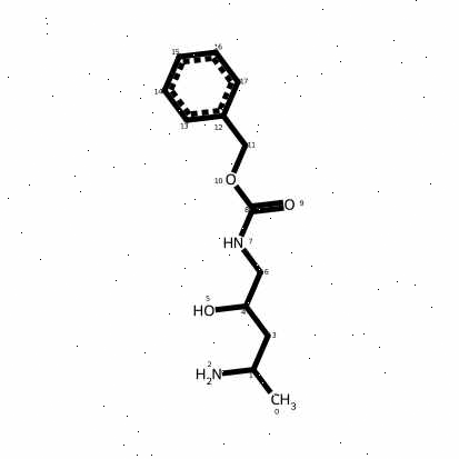 CC(N)CC(O)CNC(=O)OCc1ccccc1